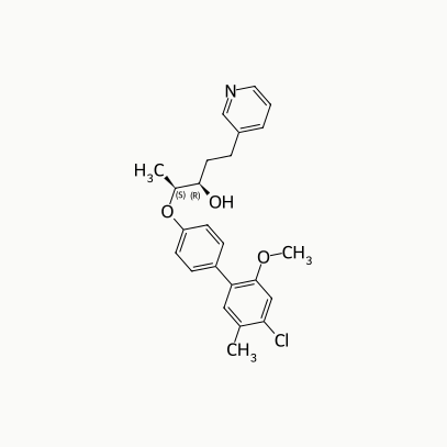 COc1cc(Cl)c(C)cc1-c1ccc(O[C@@H](C)[C@H](O)CCc2cccnc2)cc1